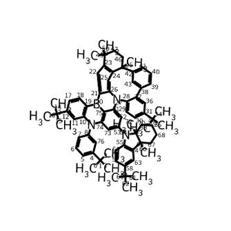 CC(C)(C)c1cccc(N2c3cc(C(C)(C)C)ccc3B3c4cc5c6cc4N(c4ccc(C(C)(C)C)cc4-c4cccc(c4)C6(C)CCC5(C)C)c4cc(N5c6ccc(C(C)(C)C)cc6C6(C)CCCCC56C)cc2c43)c1